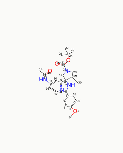 COc1ccc(CNC2(c3cc(NC(C)=O)ccn3)CN(C(=O)OC(C)(C)C)CC2C)cc1